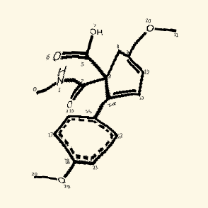 CNC(=O)C1(C(=O)O)CC(OC)=CC=C1c1ccc(OC)cc1